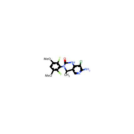 COc1cc(OC)c(F)c(N2C(=O)Nc3c(cnc(N)c3Cl)C2C)c1F